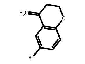 C=C1CCOc2ccc(Br)cc21